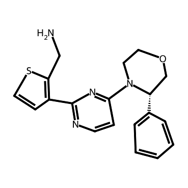 NCc1sccc1-c1nccc(N2CCOC[C@@H]2c2ccccc2)n1